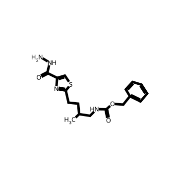 CC(CCc1nc(C(=O)NN)cs1)CNC(=O)OCc1ccccc1